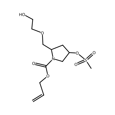 C=CCOC(=O)N1CC(OS(C)(=O)=O)CC1COCCO